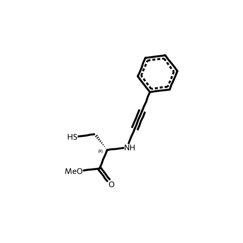 COC(=O)[C@H](CS)NC#Cc1ccccc1